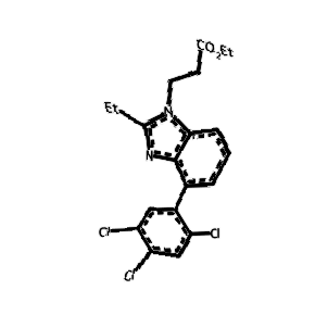 CCOC(=O)CCn1c(CC)nc2c(-c3cc(Cl)c(Cl)cc3Cl)cccc21